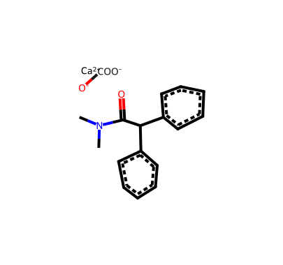 CN(C)C(=O)C(c1ccccc1)c1ccccc1.O=C([O-])[O-].[Ca+2]